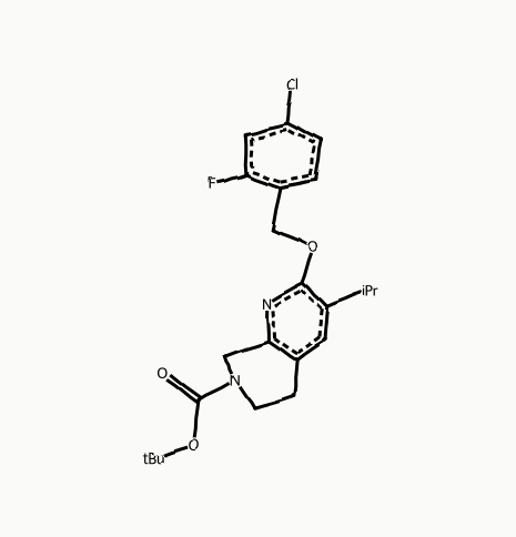 CC(C)c1cc2c(nc1OCc1ccc(Cl)cc1F)CN(C(=O)OC(C)(C)C)CC2